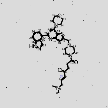 CN(C)C/C=C/C(=O)CCC(=O)N1CCN(Cc2cc3nc(-c4cccc5[nH]ncc45)nc(N4CCOCC4)c3s2)CC1